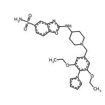 CCOc1cc(CN2CCC(Nc3nc4cc(S(N)(=O)=O)ccc4o3)CC2)cc(OCC)c1-n1cccc1